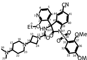 CCOc1ncccc1C1(NC(=O)N2CC(N3CCC(N(C)C)CC3)C2)C(=O)N(S(=O)(=O)c2ccc(OC)cc2OC)c2ccc(C#N)cc21